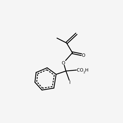 C=C(C)C(=O)OC(I)(C(=O)O)c1ccccc1